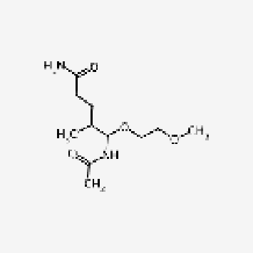 COCCOC(NC(C)=O)C(C)CCC(N)=O